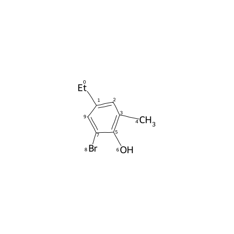 CCc1cc(C)c(O)c(Br)c1